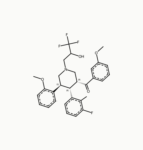 COc1cccc(C(=O)[C@H]2CN(CC(O)C(F)(F)F)C[C@H](c3[c]cccc3OC)[C@H]2c2cccc(F)c2C)c1